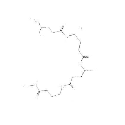 CCCCNC(=O)CC[C@@H](C=O)NC(=O)CCC(NC(=O)CC[C@@H](C=O)NC(=O)CC[C@H](NC(C)=O)C(=O)O)C(=O)O